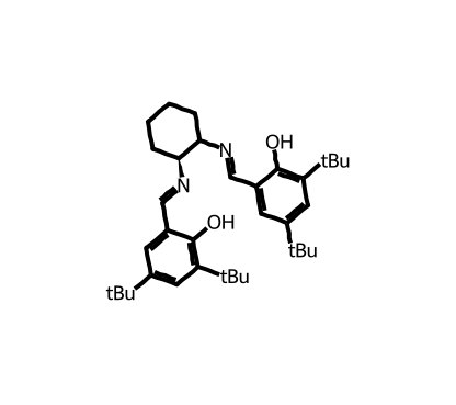 CC(C)(C)c1cc(/C=N/C2CCCC[C@@H]2/N=C/c2cc(C(C)(C)C)cc(C(C)(C)C)c2O)c(O)c(C(C)(C)C)c1